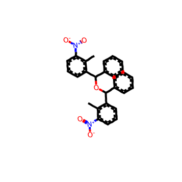 Cc1c(C(OC(c2ccccc2)c2cccc([N+](=O)[O-])c2C)c2ccccc2)cccc1[N+](=O)[O-]